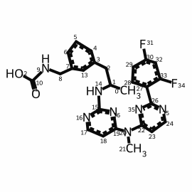 CC(Cc1cccc(CNC(=O)O)c1)Nc1nccc(N(C)c2ccnc(-c3ccc(F)cc3F)n2)n1